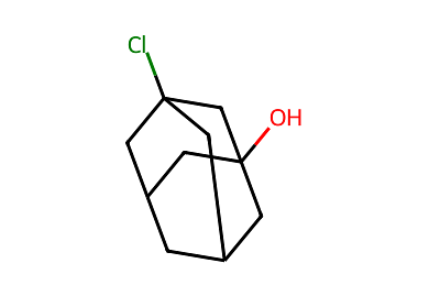 OC12CC3CC(C1)CC(Cl)(C3)C2